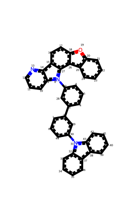 c1cc(-c2cccc(-n3c4cccnc4c4ccc5oc6ccccc6c5c43)c2)cc(-n2c3ccccc3c3ccccc32)c1